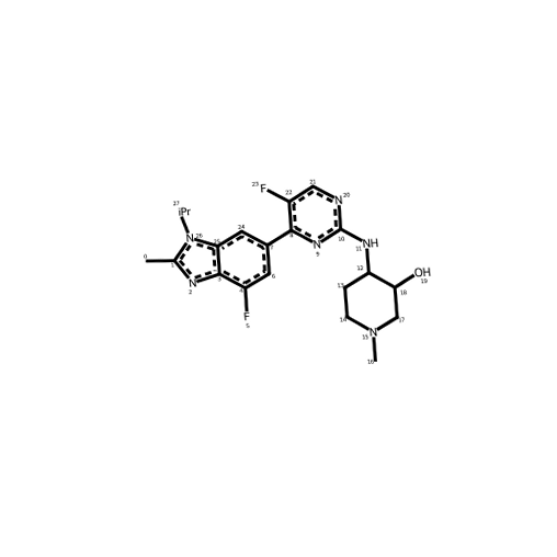 Cc1nc2c(F)cc(-c3nc(NC4CCN(C)CC4O)ncc3F)cc2n1C(C)C